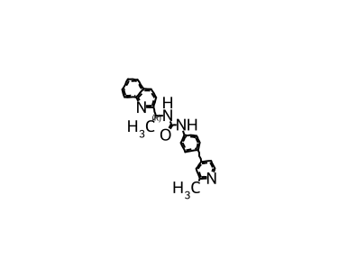 Cc1cc(-c2ccc(NC(=O)N[C@H](C)c3ccc4ccccc4n3)cc2)ccn1